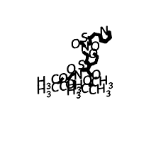 CC(C)(C)OC(=O)C(=O)Nc1sc2c(c1C(=O)OC(C)(C)C)CCOC2CN1C(=O)SC(=Cc2ccccn2)C1=O